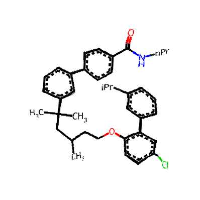 CCCNC(=O)c1ccc(-c2cccc(C(C)(C)CC(C)CCOc3ccc(Cl)cc3-c3cccc(C(C)C)c3)c2)cc1